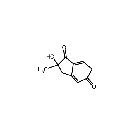 CC1(O)CC2=CC(=O)CC=C2C1=O